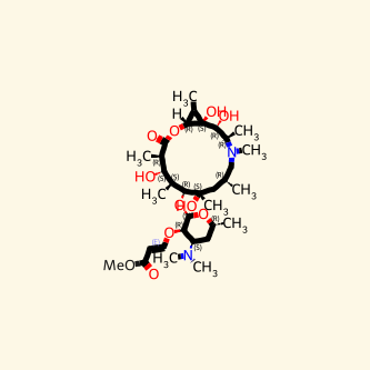 COC(=O)/C=C/O[C@H]1[C@H](O[C@@H]2[C@@H](C)[C@H](O)[C@@H](C)C(=O)O[C@@H]3C(C)[C@]3(O)[C@H](O)[C@@H](C)N(C)C[C@H](C)C[C@]2(C)O)O[C@H](C)C[C@@H]1N(C)C